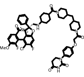 COc1ccc(C(N)=O)c(-c2c(Cl)c(F)cc3c2[C@H](C)[C@@](CNC2CCC(C(=O)N4CCC(CC5CCN(C(=O)COc6ccc(N7CCC(=O)NC7=O)cc6)CC5)CC4)CC2)(c2ccccc2)O3)c1F